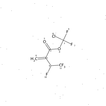 C=C(C(=O)OC(F)(F)Cl)C(F)C(F)(F)F